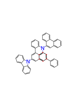 c1ccc(-c2cccc(N(c3ccccc3-c3cc(-n4c5ccccc5c5ccccc54)cc4ccccc34)c3cc4ccccc4c4ccccc34)c2)cc1